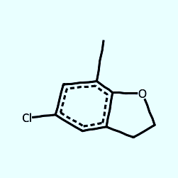 Cc1cc(Cl)cc2c1OCC2